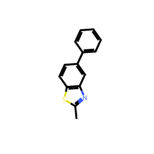 [CH2]c1nc2cc(-c3ccccc3)ccc2s1